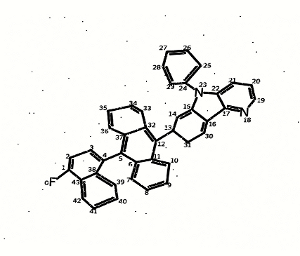 Fc1ccc(-c2c3ccccc3c(C3C=c4c(c5ncccc5n4-c4ccccc4)=CC3)c3ccccc23)c2ccccc12